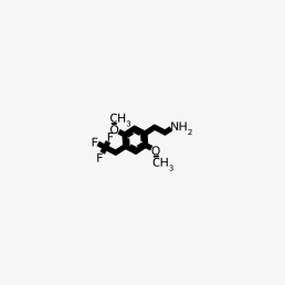 COc1cc(CC(F)(F)F)c(OC)cc1CCN